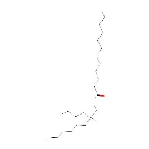 CCCCCCCCCCCC(=O)OCC(C)(CCCC)CCCCCC